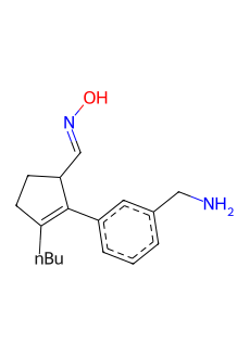 CCCCC1=C(c2cccc(CN)c2)C(C=NO)CC1